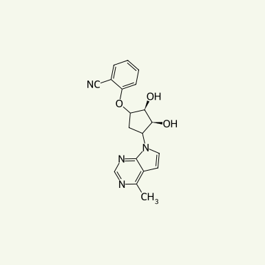 Cc1ncnc2c1ccn2C1CC(Oc2ccccc2C#N)[C@@H](O)[C@H]1O